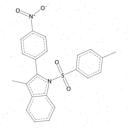 Cc1ccc(S(=O)(=O)n2c(-c3ccc([N+](=O)[O-])cc3)c(C)c3ccccc32)cc1